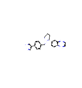 Cc1cc(-c2cnn(C)c2)ccc1CN1CCC[C@H]1c1ccc2nccnc2c1